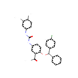 COC(=O)c1cc(NC(=O)Nc2ccc(OC)c(OC)c2)ccc1OC(c1ccccc1)c1ccc(F)cc1